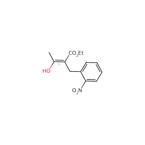 CCOC(=O)/C(Cc1ccccc1[N+](=O)[O-])=C(\C)O